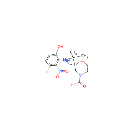 CC(C)(C)C1(CNc2c(O)ccc(F)c2[N+](=O)[O-])CN(C(=O)O)CCO1